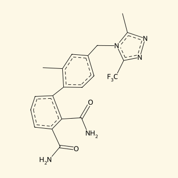 Cc1cc(Cn2c(C)nnc2C(F)(F)F)ccc1-c1cccc(C(N)=O)c1C(N)=O